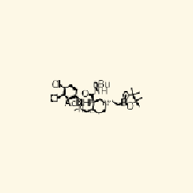 CCCCNC(=O)[C@@]1(NC(C)=O)C[C@H](CCB2OC(C)(C)C(C)(C)O2)CC[C@H]1CN(C)Cc1ccc(Cl)c(Cl)c1